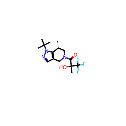 C[C@@H]1CN(C(=O)[C@@](C)(O)C(F)(F)F)Cc2cnn(C(C)(C)C)c21